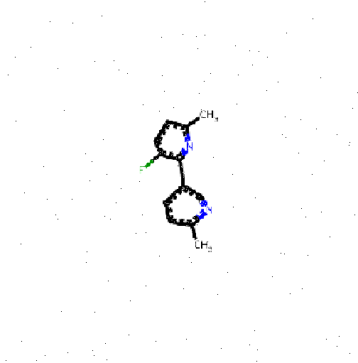 Cc1ccc(-c2nc(C)ccc2F)cn1